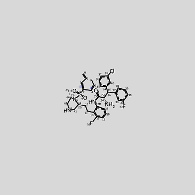 C=C/C=C(\C=C/C)S(=O)(=O)N1[C@@H](CCc2c(F)cccc2NC(=O)[C@@H](N)[C@H](c2cccc(F)c2)c2cccc(Cl)c2)CNC[C@@H]1C